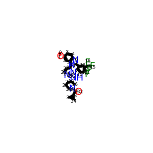 COc1ccc2nc(-c3ccc(F)c(C(F)(F)F)c3)n(-c3ccnc(N[C@H]4CCCN(C(=O)C5CC5)C4)n3)c2c1